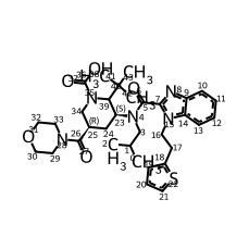 CC(C)CN(C(=O)c1nc2ccccc2n1CCc1cccs1)[C@H]1C[C@@H](C(=O)N2CCOCC2)CN(C(=O)O)C1C(C)(C)C